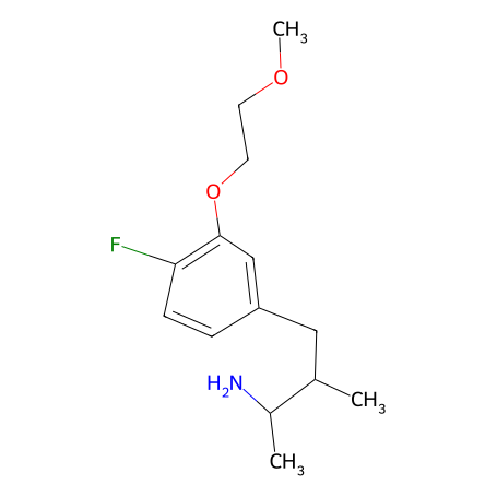 COCCOc1cc(CC(C)C(C)N)ccc1F